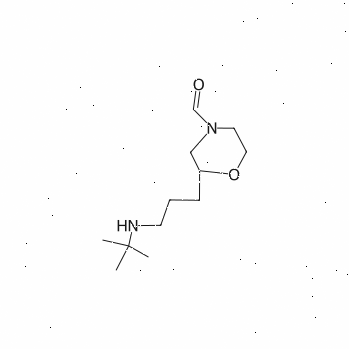 CC(C)(C)NCCCC1CN(C=O)CCO1